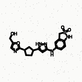 O=S1(=O)Cc2cc(Nc3cc(C4CCC(c5ncc(CO)o5)C4)[nH]n3)ccc2N1